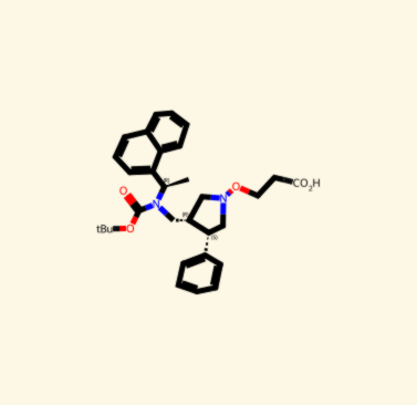 C[C@H](c1cccc2ccccc12)N(C[C@@H]1CN(OCCC(=O)O)C[C@@H]1c1ccccc1)C(=O)OC(C)(C)C